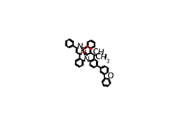 CC1(C)c2ccccc2N(c2ccccc2-c2cc(-c3ccccc3)nc(-c3ccccc3)n2)c2ccc(-c3ccc4oc5ccccc5c4c3)cc21